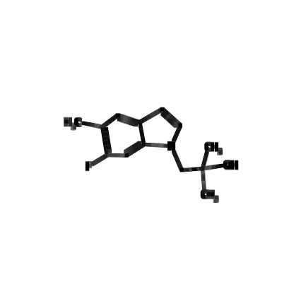 Cc1cc2ccn(CC(C)(C)O)c2cc1F